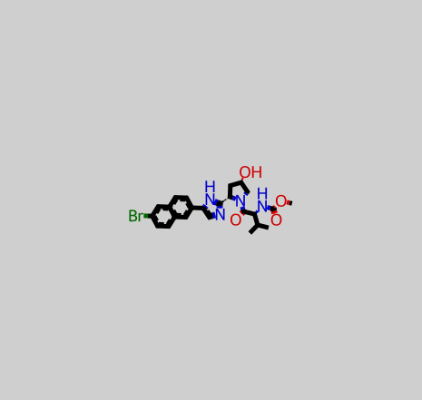 COC(=O)N[C@H](C(=O)N1C[C@@H](O)C[C@H]1c1ncc(-c2ccc3cc(Br)ccc3c2)[nH]1)C(C)C